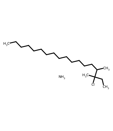 CCCCCCCCCCCCCCC(C)C(C)(Cl)CC.N